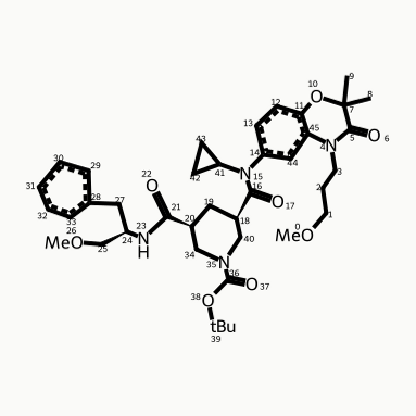 COCCCN1C(=O)C(C)(C)Oc2ccc(N(C(=O)[C@@H]3C[C@H](C(=O)N[C@@H](COC)Cc4ccccc4)CN(C(=O)OC(C)(C)C)C3)C3CC3)cc21